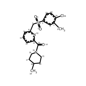 Cc1cc(S(=O)(=O)Cc2cccc(C(=O)N3CCC(C)CC3)n2)ccc1Cl